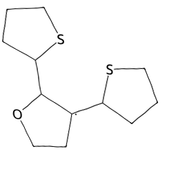 C1CSC([C]2CCOC2C2CCCS2)C1